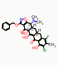 Cc1c(F)c2c(c(O)c1Br)C(=O)C1=C(O)[C@]3(O)C(=O)c4c(OCc5ccccc5)noc4[C@@H](N(C)C)[C@@H]3C[C@@H]1C2